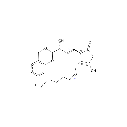 O=C(O)CCC/C=C\C[C@H]1[C@@H](O)CC(=O)[C@@H]1/C=C/[C@@H](O)C1OCc2ccccc2O1